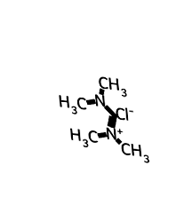 CN(C)C=[N+](C)C.[Cl-]